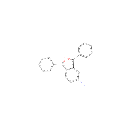 Nc1ccc2c(-c3ccccc3)oc(-c3ccccc3)c2c1